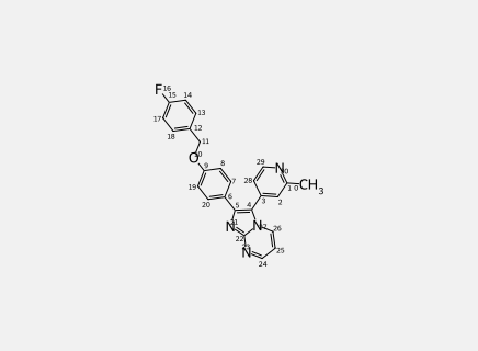 Cc1cc(-c2c(-c3ccc(OCc4ccc(F)cc4)cc3)nc3ncccn23)ccn1